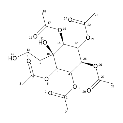 CC(=O)OC1C(OC(C)=O)[C@](O)(CCO)[C@@H](OC(C)=O)C(OC(C)=O)[C@H]1OC(C)=O